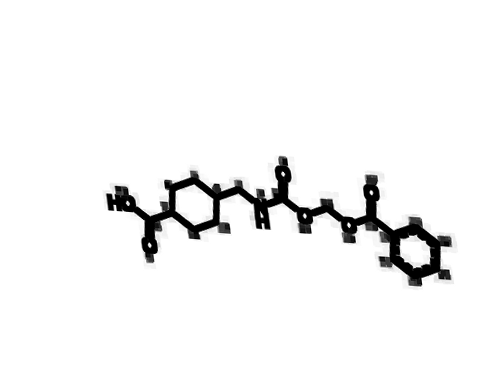 O=C(NCC1CCC(C(=O)O)CC1)OCOC(=O)c1ccccc1